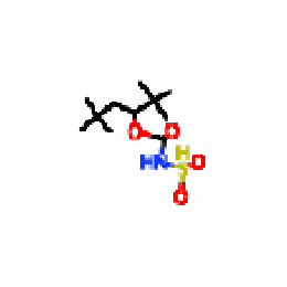 CC(C)(C)CC(OC(=O)N[SH](=O)=O)C(C)(C)C